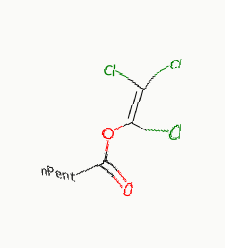 CCCCCC(=O)OC(Cl)=C(Cl)Cl